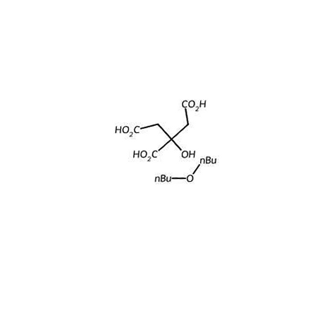 CCCCOCCCC.O=C(O)CC(O)(CC(=O)O)C(=O)O